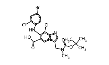 CN(Cc1cnc2c(Cl)c(Nc3ccc(Br)cc3Cl)c(C(=O)O)cn12)C(=O)OC(C)(C)C